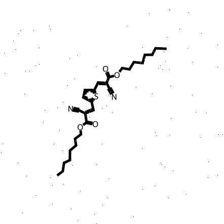 CCCCCCCCOC(=O)/C(C#N)=C/c1ccc(/C=C(\C#N)C(=O)OCCCCCCCC)s1